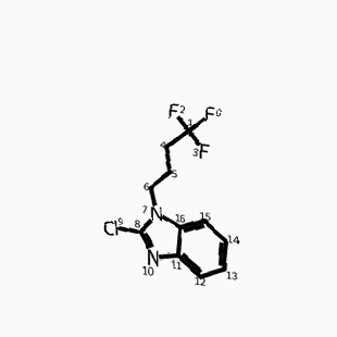 FC(F)(F)CCCn1c(Cl)nc2ccccc21